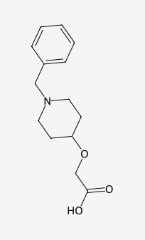 O=C(O)COC1CCN(Cc2ccccc2)CC1